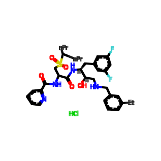 CCCC(CCC)S(=O)(=O)CC(NC(=O)c1ccccn1)C(=O)N[C@@H](Cc1cc(F)cc(F)c1)[C@H](O)CNCc1cccc(CC)c1.Cl